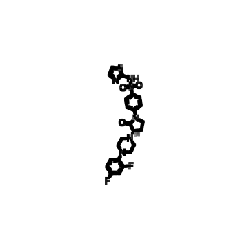 O=C1[C@@H](N2CCN(c3ccc(F)cc3F)CC2)CCN1c1ccc(S(=O)(=O)Nc2nccs2)cc1